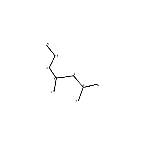 CCCC(C)CC(C)C